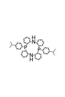 CC(C)c1ccc(P2c3ccccc3Nc3ccccc3P(c3ccc(C(C)C)cc3)c3ccccc3Nc3ccccc32)cc1